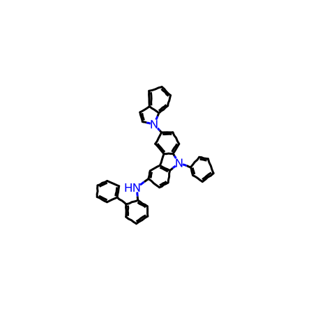 c1ccc(-c2ccccc2Nc2ccc3c(c2)c2cc(-n4ccc5ccccc54)ccc2n3-c2ccccc2)cc1